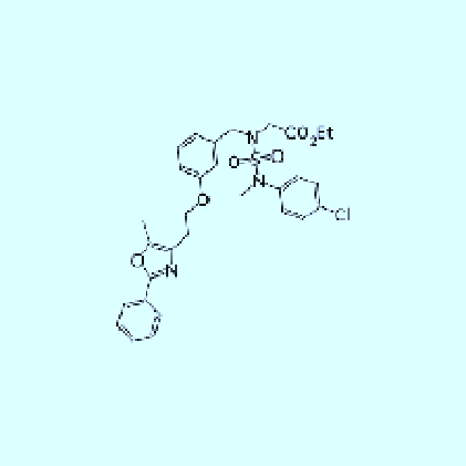 CCOC(=O)CN(Cc1cccc(OCCc2nc(-c3ccccc3)oc2C)c1)S(=O)(=O)N(C)c1ccc(Cl)cc1